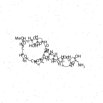 C=C1C[C@@H]2CC[C@@H]3C[C@@H](OC)[C@H](O3)[C@H]3C[C@@H](O)[C@H]4O[C@H](CC[C@@H]4O3)CC(=O)O[C@@H]3[C@@H](C)[C@@H]4O[C@@H]5C[C@]6(C[C@@H]7OO[C@H]8C[C@@H](O)[C@@H](CN)O[C@H]8[C@@H](C)CC[C@H](C)[C@@H]7O6)O[C@@H]5C[C@@H]4O[C@H]3C[C@H]3O[C@@H](CC[C@@H]1O2)C[C@@H](C)C3=C